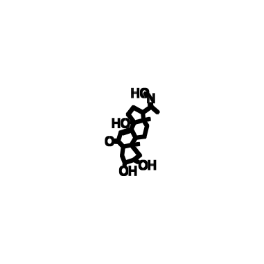 C/C(=N/O)C1CC[C@@]2(O)C3=CC(=O)C4CC(O)C(O)CC4(C)C3CCC12C